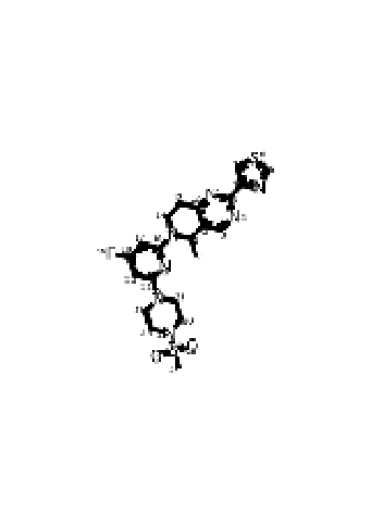 CC1c2cnc(-c3cscn3)nc2CCN1c1cc(F)cc(N2CCN(S(C)(=O)=O)CC2)n1